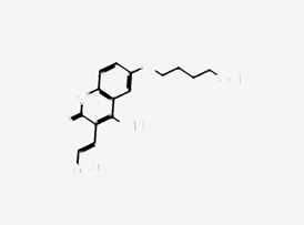 CCCCC=Cc1c(O)c2cc(OCCCCO)ccc2oc1=O